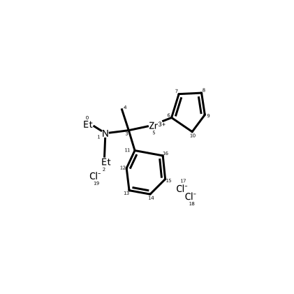 CCN(CC)[C](C)([Zr+3][C]1=CC=CC1)c1ccccc1.[Cl-].[Cl-].[Cl-]